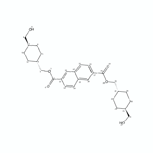 O=C(OC[C@H]1CC[C@H](CO)CC1)c1ccc2cc(C(=O)OC[C@H]3CC[C@H](CO)CC3)ccc2c1